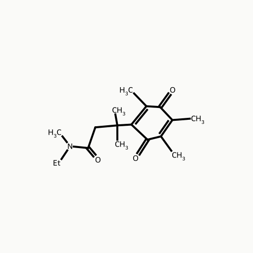 CCN(C)C(=O)CC(C)(C)C1=C(C)C(=O)C(C)=C(C)C1=O